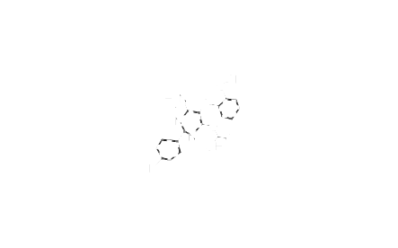 COc1ccccc1Oc1c(N)nc(-c2ccc(F)cc2)nc1OC(C)O